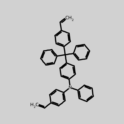 C=Cc1ccc(N(c2ccccc2)c2ccc(C(c3ccccc3)(c3ccccc3)c3ccc(C=C)cc3)cc2)cc1